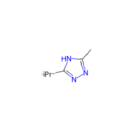 C[C](C)c1nnc(C)[nH]1